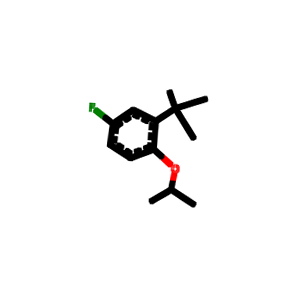 CC(C)Oc1ccc(F)cc1C(C)(C)C